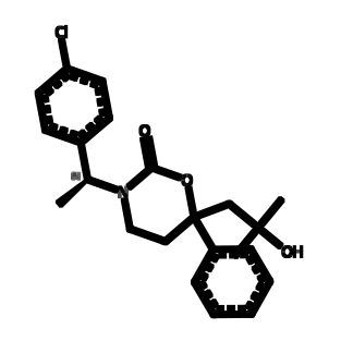 C[C@@H](c1ccc(Cl)cc1)N1CCC(CC(C)(C)O)(c2ccccc2)OC1=O